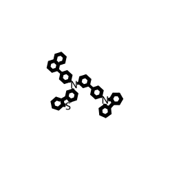 c1cc(-c2ccc(-n3c4ccccc4c4ccccc43)cc2)cc(N(c2ccc(-c3cccc4ccccc34)cc2)c2ccc3sc4ccccc4c3c2)c1